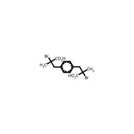 CC(Br)(Cc1ccc(CC(C)(Br)C(=O)O)cc1)C(=O)O